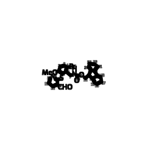 COc1ccc(Br)c(CNC(=O)OCC2c3ccccc3-c3ccccc32)c1Sc1ncccc1C=O